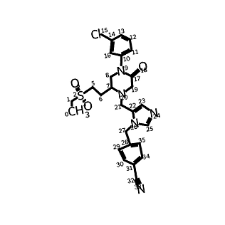 CCS(=O)(=O)CCC1CN(c2cccc(Cl)c2)C(=O)CN1Cc1cncn1Cc1ccc(C#N)cc1